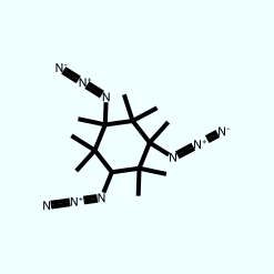 CC1(C)C(N=[N+]=[N-])C(C)(C)C(C)(N=[N+]=[N-])C(C)(C)C1(C)N=[N+]=[N-]